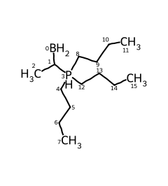 BC(C)[PH](CCCC)(CCCC)CCCC